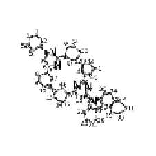 c1ccc(-c2cc(-c3cccc(-c4cccc(-c5cc(-n6c7ccccc7c7c8ccccc8ccc76)nc(-c6ccccc6)n5)c4)c3)nc(-c3ccccc3)n2)cc1